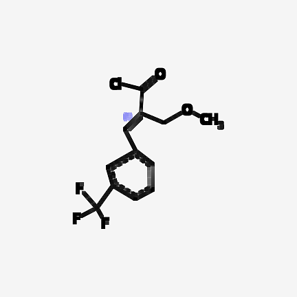 COC/C(=C\c1cccc(C(F)(F)F)c1)C(=O)Cl